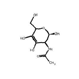 CC(=O)NC1C(O)=C(O)C(CO)O[C@H]1O